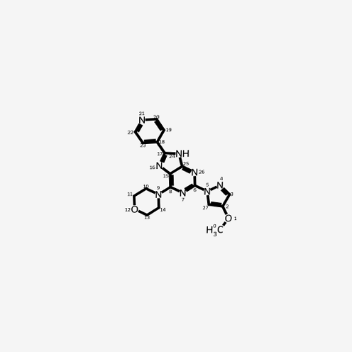 COc1cnn(-c2nc(N3CCOCC3)c3nc(-c4ccncc4)[nH]c3n2)c1